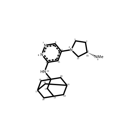 CN[C@H]1CCN(c2cnnc(NC34CC5CC(CC(C5)C3)C4)c2)C1